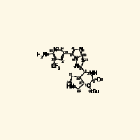 CC(C)(C)OC(=O)NC(c1nn2c(-c3cnc(N)c(C(F)(F)F)c3)cnc2s1)C1CCNCC1